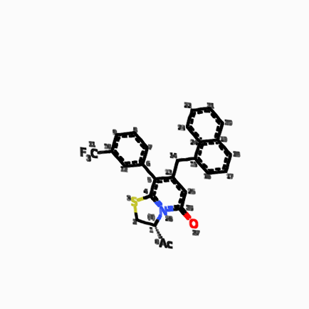 CC(=O)[C@@H]1CSc2c(-c3cccc(C(F)(F)F)c3)c(Cc3cccc4ccccc34)cc(=O)n21